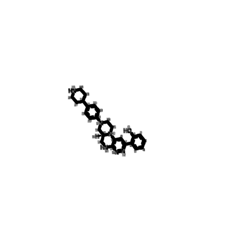 Oc1ccccc1-c1cc2c(nn1)NC[C@H]1CN(c3ccc(C4CCNCC4)cc3)CCN21